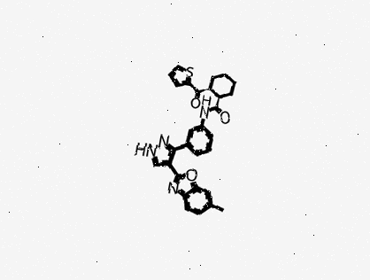 Cc1ccc2nc(-c3c[nH]nc3-c3cccc(NC(=O)[C@@H]4CCCC[C@@H]4C(=O)c4cccs4)c3)oc2c1